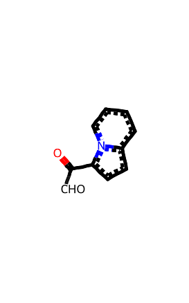 O=CC(=O)c1ccc2ccccn12